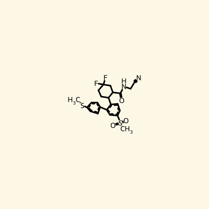 CSc1ccc(-c2cc(S(C)(=O)=O)ccc2C2CCC(F)(F)CC2C(=O)NCC#N)cc1